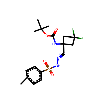 Cc1ccc(S(=O)(=O)N/N=C/C2(NC(=O)OC(C)(C)C)CC(F)(F)C2)cc1